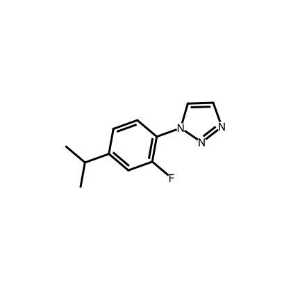 CC(C)c1ccc(-n2ccnn2)c(F)c1